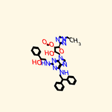 CCn1cnc([C@H]2O[C@@H](n3cnc4c(NCC(c5ccccc5)c5ccccc5)nc(NCC(O)c5ccccc5)nc43)[C@H](O)[C@@H]2OC=O)n1